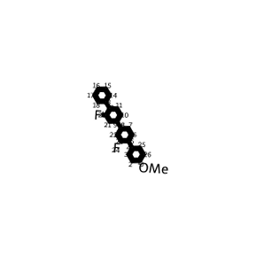 COc1ccc(-c2ccc(-c3ccc(-c4ccccc4)c(F)c3)cc2F)cc1